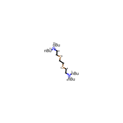 CCCCN(CCCC)CCSCCSCCN(CCCC)CCCC